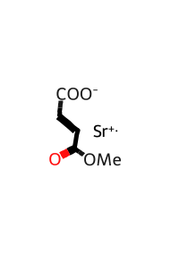 COC(=O)C=CC(=O)[O-].[Sr+]